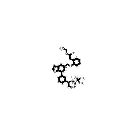 CCOC(=O)Cc1ccccc1OCc1cc(-c2cccc(C(CF)N[S+]([O-])C(C)(C)C)c2)c2occc2c1